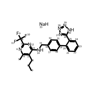 CCCc1c(C)nc(C(F)(F)F)nc1NCc1ccc(-c2ccccc2-c2nnn[nH]2)cc1.[NaH]